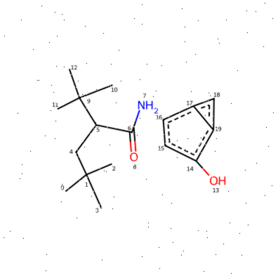 CC(C)(C)CC(C(N)=O)C(C)(C)C.Oc1ccc2cc1-2